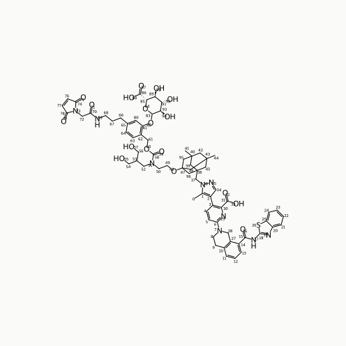 Cc1c(-c2ccc(N3CCc4cccc(C(=O)Nc5nc6ccccc6s5)c4C3)nc2C(=O)O)cnn1CC12CC3(C)CC(C)(C1)CC(OCCN(CC(CO)CO)C(=O)OCc1ccc(CCCNC(=O)CN4C(=O)C=CC4=O)cc1OC1O[C@H](C(=O)O)[C@@H](O)[C@H](O)[C@H]1O)(C3)C2